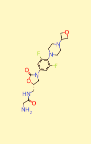 NCC(=O)NC[C@H]1CN(c2cc(F)c(N3CCN(C4COC4)CC3)c(F)c2)C(=O)O1